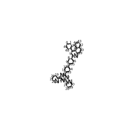 c1ccc(-c2cc(-c3ccc(-c4ccc(-c5nc(-c6ccccn6)nc(-c6ccccn6)n5)cc4)cc3)nc3ccc4ccccc4c23)cc1